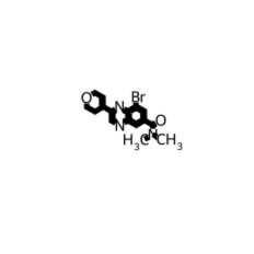 CN(C)C(=O)c1cc(Br)c2nc(C3=CCOCC3)cnc2c1